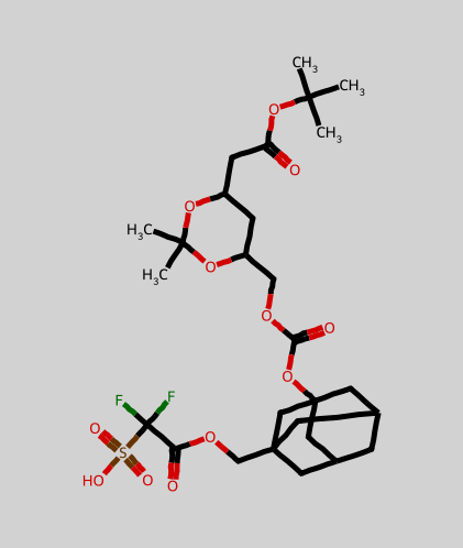 CC(C)(C)OC(=O)CC1CC(COC(=O)OC23CC4CC(CC(COC(=O)C(F)(F)S(=O)(=O)O)(C4)C2)C3)OC(C)(C)O1